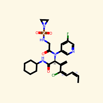 C=C(/C(Cl)=C\C=C/C)[C@@H](C(=O)NC1CCCCC1)N(C(=O)CNS(=O)(=O)N1CC1)c1cncc(F)c1